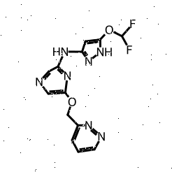 FC(F)Oc1cc(Nc2cncc(OCc3cccnn3)n2)n[nH]1